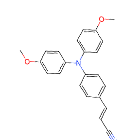 COc1ccc(N(c2ccc(C=CC#N)cc2)c2ccc(OC)cc2)cc1